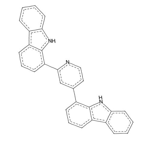 c1ccc2c(c1)[nH]c1c(-c3ccnc(-c4cccc5c4[nH]c4ccccc45)c3)cccc12